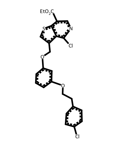 CCOC(=O)c1cnc(Cl)c2c(COc3cccc(OCCc4ccc(Cl)cc4)c3)csc12